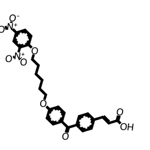 O=C(O)/C=C/c1ccc(C(=O)c2ccc(OCCCCCCOc3ccc([N+](=O)[O-])cc3[N+](=O)[O-])cc2)cc1